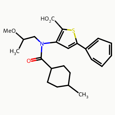 COC(C)CN(C(=O)C1CCC(C)CC1)c1cc(-c2ccccc2)sc1C(=O)O